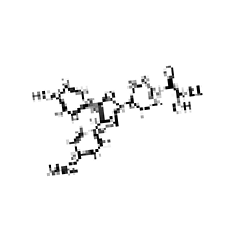 CCN(O)C(=O)N1CCC(c2nc(-c3ccc(OC)cc3)c(-c3ccc(O)cc3)o2)CC1